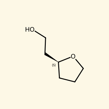 OCC[C@@H]1CCCO1